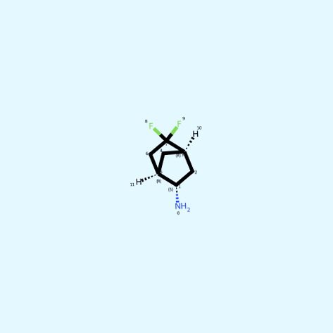 N[C@H]1C[C@H]2C[C@@H]1CC2(F)F